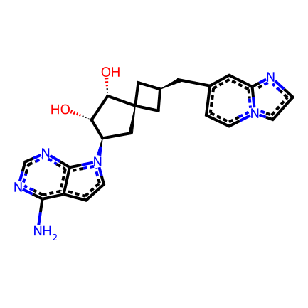 Nc1ncnc2c1ccn2[C@@H]1C[C@]2(C[C@@H](Cc3ccn4ccnc4c3)C2)[C@@H](O)[C@H]1O